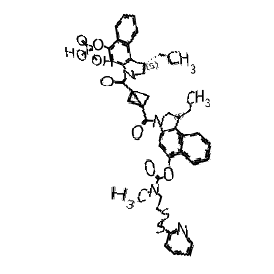 CC[C@@H]1CN(C(=O)C23CC(C(=O)N4C[C@@H](CC)c5c4cc(OP(=O)(O)O)c4ccccc54)(C2)C3)c2cc(OC(=O)N(C)CCSSc3ccccn3)c3ccccc3c21